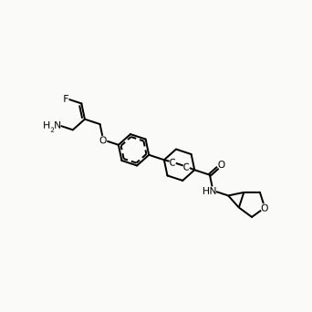 NC/C(=C\F)COc1ccc(C23CCC(C(=O)NC4C5COCC54)(CC2)CC3)cc1